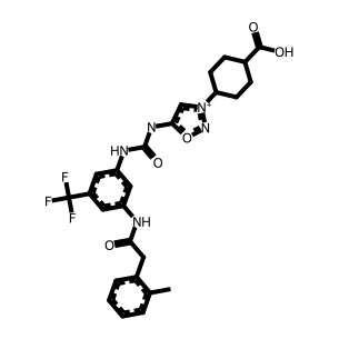 Cc1ccccc1CC(=O)Nc1cc(NC(=O)[N-]c2c[n+](C3CCC(C(=O)O)CC3)no2)cc(C(F)(F)F)c1